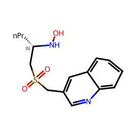 CCC[C@@H](CS(=O)(=O)Cc1cnc2ccccc2c1)NO